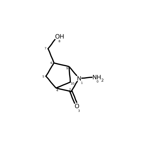 NN1C(=O)C2CC(CO)C1C2